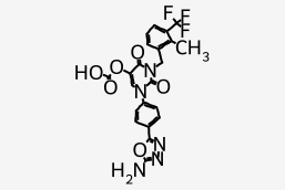 Cc1c(Cn2c(=O)c(OC(=O)O)cn(-c3ccc(-c4nnc(N)o4)cc3)c2=O)cccc1C(F)(F)F